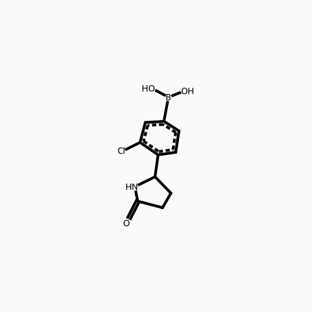 O=C1CCC(c2ccc(B(O)O)cc2Cl)N1